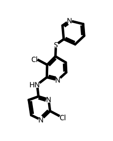 Clc1nccc(Nc2nccc(Sc3cccnc3)c2Cl)n1